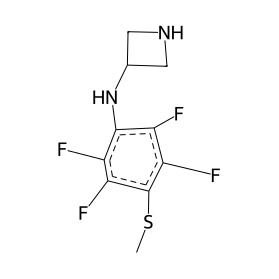 CSc1c(F)c(F)c(NC2CNC2)c(F)c1F